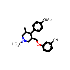 COc1ccc(C2C(C)CN(C(=O)O)CC2COc2cccc(C#N)c2)cc1